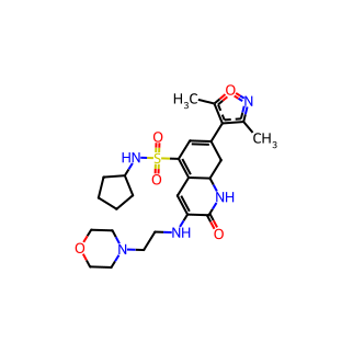 Cc1noc(C)c1C1=CC(S(=O)(=O)NC2CCCC2)=C2C=C(NCCN3CCOCC3)C(=O)NC2C1